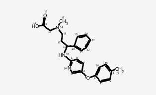 Cc1ccc(Oc2ccc(NC(CCN(C)CC(=O)O)c3ccccc3)nc2)cc1